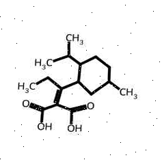 CCC(=C(C(=O)O)C(=O)O)C1CC(C)CCC1C(C)C